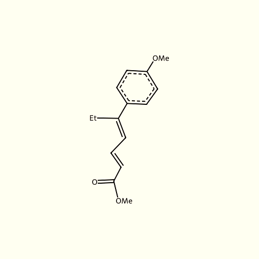 CCC(=CC=CC(=O)OC)c1ccc(OC)cc1